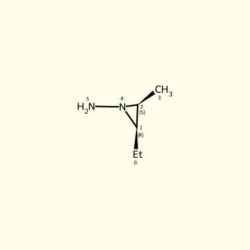 CC[C@@H]1[C@H](C)N1N